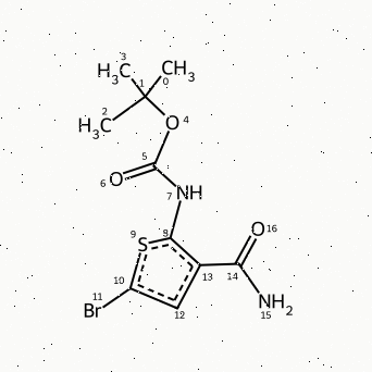 CC(C)(C)OC(=O)Nc1sc(Br)cc1C(N)=O